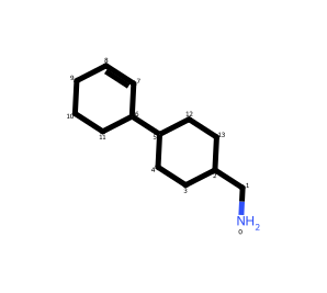 NCC1CCC(C2C=CCCC2)CC1